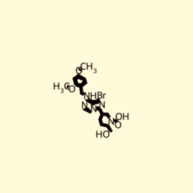 COc1ccc(CNc2nccn3c(C4CCC(CO)N(C(=O)O)C4)nc(Br)c23)c(OC)c1